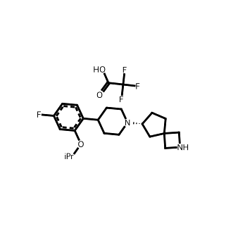 CC(C)Oc1cc(F)ccc1C1CCN([C@@H]2CCC3(CNC3)C2)CC1.O=C(O)C(F)(F)F